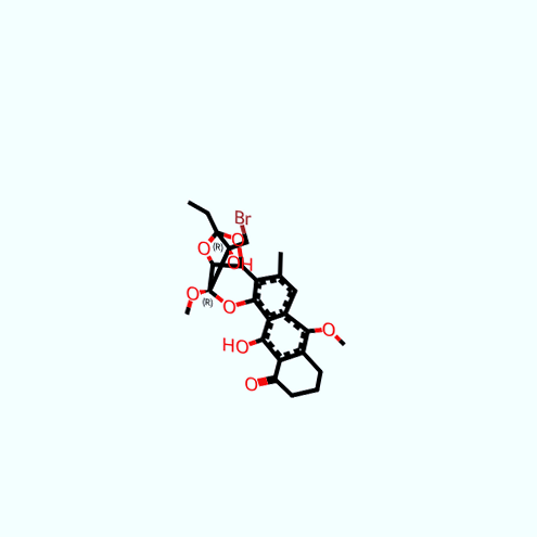 CCC12OC3c4c(C)cc5c(OC)c6c(c(O)c5c4O[C@](OC)(C3O1)[C@@]2(O)CBr)C(=O)CCC6